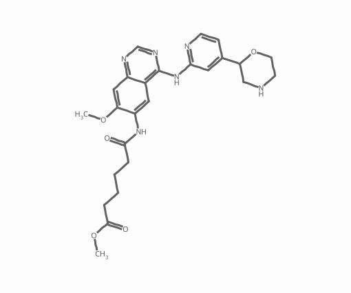 COC(=O)CCCCC(=O)Nc1cc2c(Nc3cc(C4CNCCO4)ccn3)ncnc2cc1OC